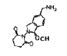 Cl.NCc1ccc2c(c1)CN(N1C(=O)CCCC1=O)C2=O